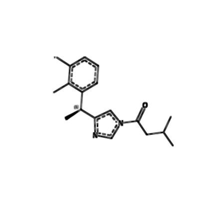 [CH2]c1cccc([C@H](C)c2cn(C(=O)CC(C)C)cn2)c1C